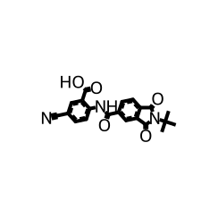 CC(C)(C)N1C(=O)c2ccc(C(=O)Nc3ccc(C#N)cc3C(=O)O)cc2C1=O